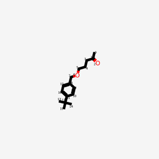 CC(=O)CCCOCc1ccc(C(C)(C)C)cc1